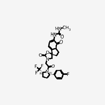 CNC(=O)NC1=CC=C2C(CC[C@]23CN(CC(=O)N2[C@H](c4ccc(F)cc4)CC[C@@H]2C(F)(F)F)C(=O)O3)C1=O